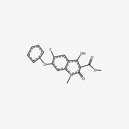 COC(=O)c1c(O)c2cc(F)c(Oc3ccccc3)cc2n(C)c1=O